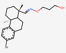 CC(C)c1ccc2c(c1)CCC1[C@@](C)(/C=N/OCCCO)CCC[C@]21C